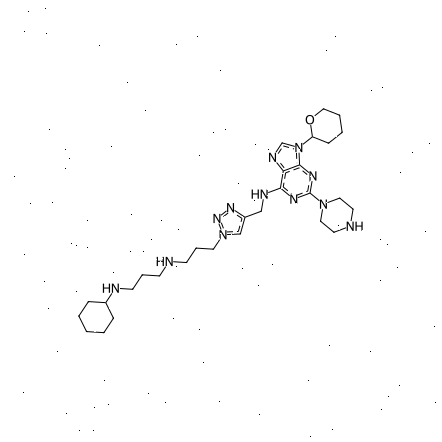 c1c(CNc2nc(N3CCNCC3)nc3c2ncn3C2CCCCO2)nnn1CCCNCCCNC1CCCCC1